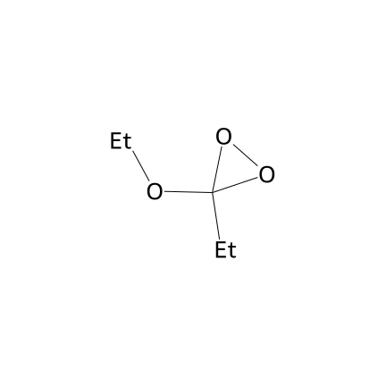 CCOC1(CC)OO1